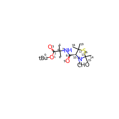 CC(C)(C)OC(=O)C(C)(C)NC(=O)[C@@H]1N(C=O)C(C)(C)SC1(C)C